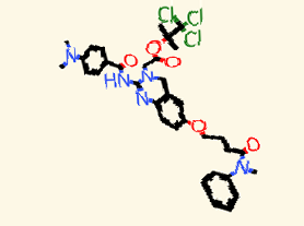 CN(C)c1ccc(C(=O)NC2=Nc3ccc(OCCCC(=O)N(C)c4ccccc4)cc3CN2CC(=O)OC(C)(C)C(Cl)(Cl)Cl)cc1